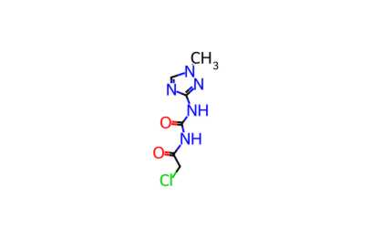 Cn1cnc(NC(=O)NC(=O)CCl)n1